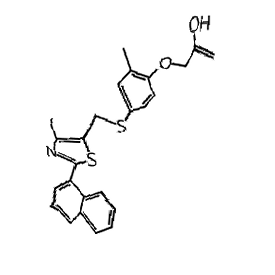 C=C(O)COc1ccc(SCc2sc(-c3cccc4ccccc34)nc2C)cc1C